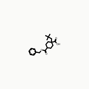 CC(C)(C)CC1(C(=O)O)CCC(C(=O)OCc2ccccc2)CC1